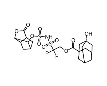 O=C1OC2C3CC(CC13)C2OS(=O)(=O)NS(=O)(=O)C(F)(F)COC(=O)C12CC3CC(CC(O)(C3)C1)C2